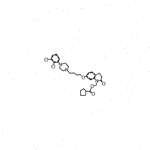 O=C(OCN1C(=O)CCc2ccc(OCCCCN3CCN(c4cccc(Cl)c4Cl)CC3)cc21)C1CCCC1